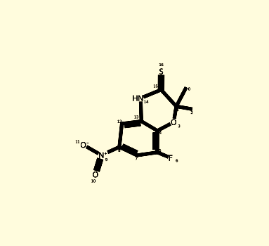 CC1(C)Oc2c(F)cc([N+](=O)[O-])cc2NC1=S